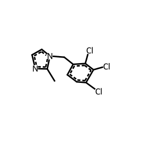 Cc1nccn1Cc1ccc(Cl)c(Cl)c1Cl